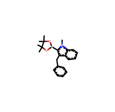 Cn1c(B2OC(C)(C)C(C)(C)O2)c(Cc2ccccc2)c2ccccc21